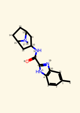 Cc1ccc2[nH]c(C(=O)NC3CC4CCC(C3)N4C)nc2c1